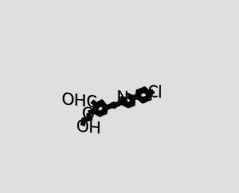 O=Cc1cc(C#Cc2ccc(-c3ccc(Cl)cc3)cn2)ccc1OCCO